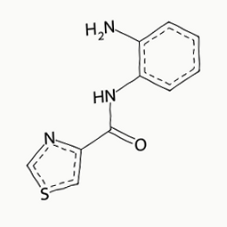 Nc1ccccc1NC(=O)c1cscn1